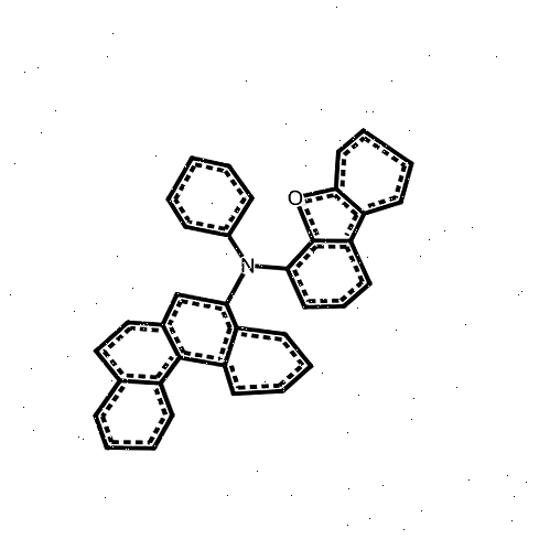 c1ccc(N(c2cc3ccc4ccccc4c3c3ccccc23)c2cccc3c2oc2ccccc23)cc1